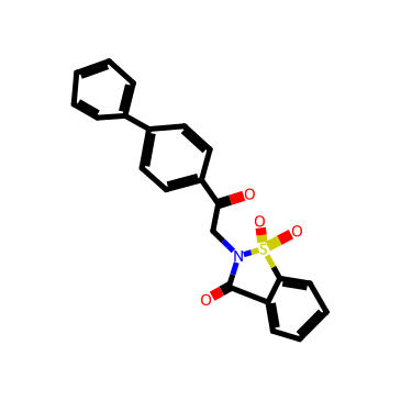 O=C(CN1C(=O)c2ccccc2S1(=O)=O)c1ccc(-c2ccccc2)cc1